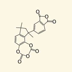 CC1(C)CC(C)(c2ccc3c(c2)C(=O)OC3=O)c2c1ccc1c2OC(=O)OC(=O)O1